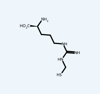 N=C(NCS)NCCC[C@H](N)C(=O)O